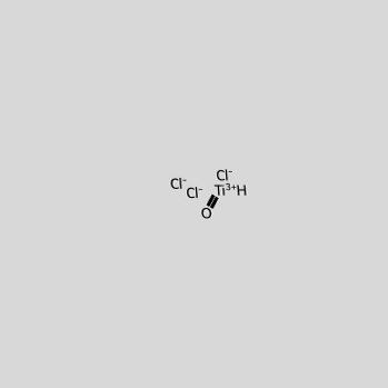 [Cl-].[Cl-].[Cl-].[O]=[TiH+3]